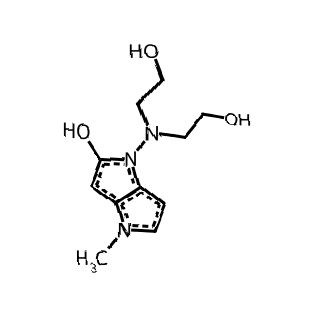 Cn1ccc2c1cc(O)n2N(CCO)CCO